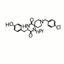 CCCN1C(=O)[C@@H](Cc2ccc(O)cc2)NC(=O)C12CCN(Cc1ccc(Cl)cc1)CC2